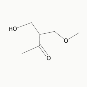 COCC(CO)C(C)=O